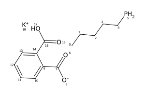 CCCCCP.O=C([O-])c1ccccc1C(=O)O.[K+]